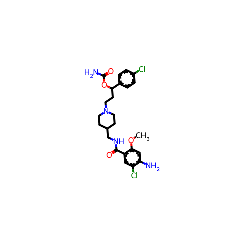 COc1cc(N)c(Cl)cc1C(=O)NCC1CCN(CCC(OC(N)=O)c2ccc(Cl)cc2)CC1